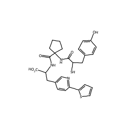 O=C(NC1(C(=O)NC(Cc2ccc(-c3cccs3)nc2)C(=O)O)CCCC1)C(S)Cc1ccc(O)cc1